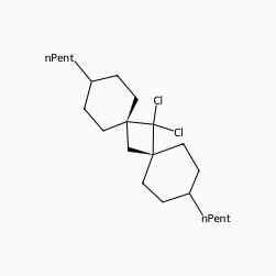 CCCCCC1CC[C@]2(CC1)C[C@@]1(CCC(CCCCC)CC1)C2(Cl)Cl